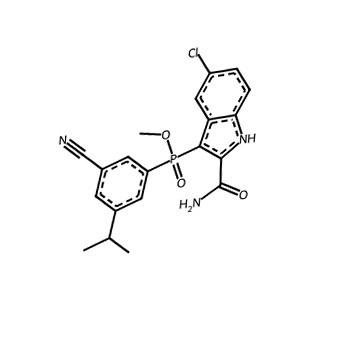 COP(=O)(c1cc(C#N)cc(C(C)C)c1)c1c(C(N)=O)[nH]c2ccc(Cl)cc12